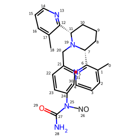 Cc1cccnc1[C@H]1CCC[C@@H](c2ncccc2C)N1Cc1ccc(N(N=O)C(N)=O)cc1